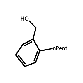 CCCCCc1ccccc1CO